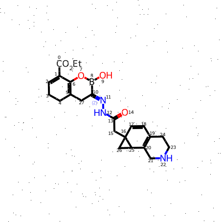 CCOC(=O)C1=CCCC2=C1OB(O)/C(=N/NC(=O)CC13C=CC4=C(CNCC4)C1C3)C2